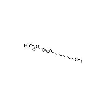 C=CC(=O)OCCOOOOCCCCCCCCCCCC